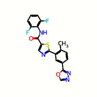 Cc1ccc(-c2nnco2)cc1-c1ncc(C(=O)Nc2c(F)cccc2F)s1